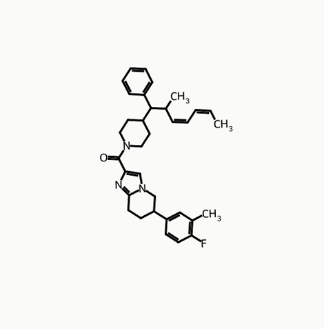 C/C=C\C=C/C(C)C(c1ccccc1)C1CCN(C(=O)c2cn3c(n2)CCC(c2ccc(F)c(C)c2)C3)CC1